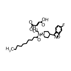 CCCCCCCCCC(=O)N(CC)N1CCC(c2noc3cc(F)ccc23)CC1.O=C(O)C=CC(=O)O